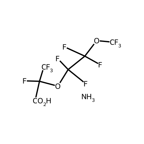 N.O=C(O)C(F)(OC(F)(F)C(F)(F)OC(F)(F)F)C(F)(F)F